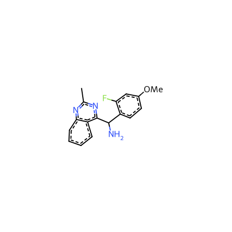 COc1ccc(C(N)c2nc(C)nc3ccccc23)c(F)c1